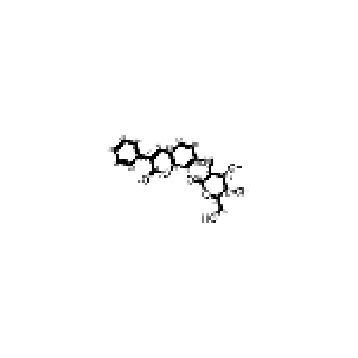 O=c1oc2cc(NC3C(O)OC(CO)[C@@H](O)[C@@H]3O)ccc2cc1-c1ccccc1